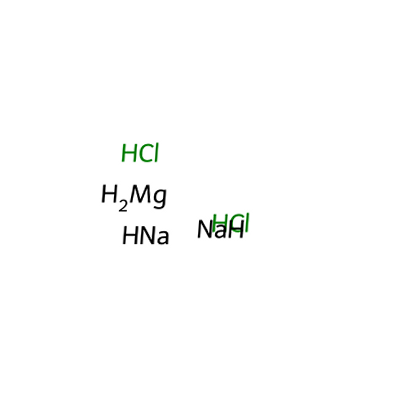 Cl.Cl.[MgH2].[NaH].[NaH]